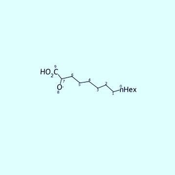 CCCCCCCCCCCCC([O])C(=O)O